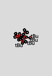 CC(C)(C)c1cc(-c2ccc(N3c4cc(-n5c6ccccc6c6ccccc65)ccc4B4c5ccc(-n6c7ccccc7c7ccccc76)cc5N(C5=C(C6=CC=CC(C7C=CC=CC7)C6)CCC=C5C5C=CC=C(C6=CC=CCC6)C5)c5cc(-n6c7ccc(C(C)(C)C)cc7c7cc(C(C)(C)C)ccc76)cc3c54)cc2)cc(C(C)(C)C)c1